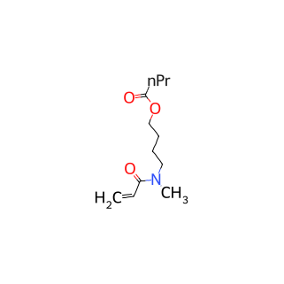 C=CC(=O)N(C)CCCCOC(=O)CCC